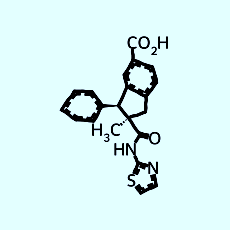 C[C@@]1(C(=O)Nc2nccs2)Cc2ccc(C(=O)O)cc2[C@@H]1c1ccccc1